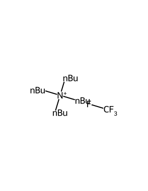 CCCC[N+](CCCC)(CCCC)CCCC.FC(F)(F)F